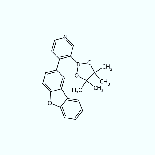 CC1(C)OB(c2cnccc2-c2ccc3oc4ccccc4c3c2)OC1(C)C